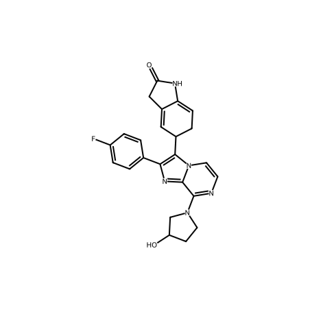 O=C1CC2=CC(c3c(-c4ccc(F)cc4)nc4c(N5CCC(O)C5)nccn34)CC=C2N1